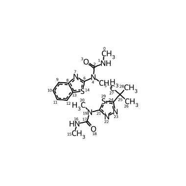 CNC(=O)N(C)c1nc2ccccc2s1.CNC(=O)N(C)c1nnc(C(C)(C)C)s1